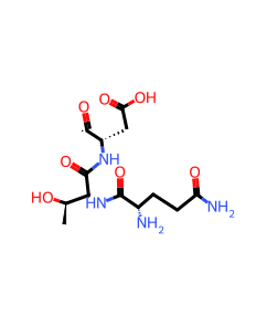 C[C@@H](O)[C@H](NC(=O)[C@@H](N)CCC(N)=O)C(=O)N[C@H]([C]=O)CC(=O)O